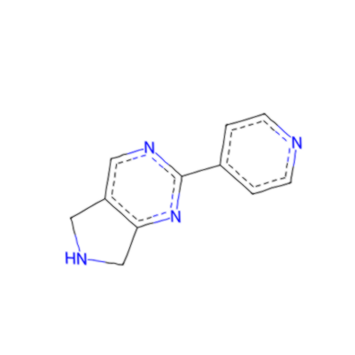 c1cc(-c2ncc3c(n2)CNC3)ccn1